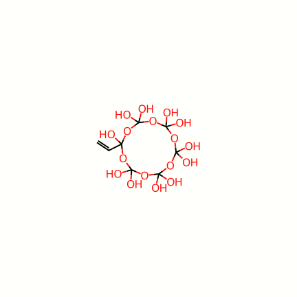 C=CC1(O)OC(O)(O)OC(O)(O)OC(O)(O)OC(O)(O)OC(O)(O)O1